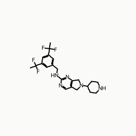 CC(F)(F)c1cc(CNc2ncc3c(n2)CN(C2CCNCC2)C3)cc(C(C)(F)F)c1